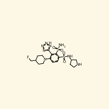 NS(=O)(=O)c1c(S(=O)(=O)N[C@@H]2CCNC2)ccc(N2CCC(CF)CC2)c1-c1nnn[nH]1